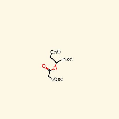 CCCCCCCCCCCC(=O)OC(CC=O)CCCCCCCCC